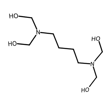 OCN(CO)CCCCN(CO)CO